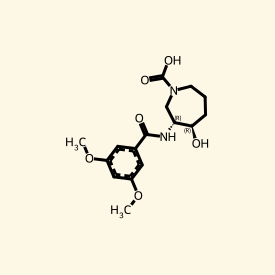 COc1cc(OC)cc(C(=O)N[C@@H]2CN(C(=O)O)CCC[C@H]2O)c1